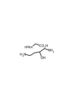 CCCCCCCC(=O)O.NCCC(O)CN